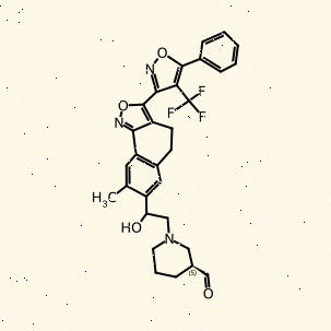 Cc1cc2c(cc1C(O)CN1CCC[C@H](C=O)C1)CCc1c-2noc1-c1noc(-c2ccccc2)c1C(F)(F)F